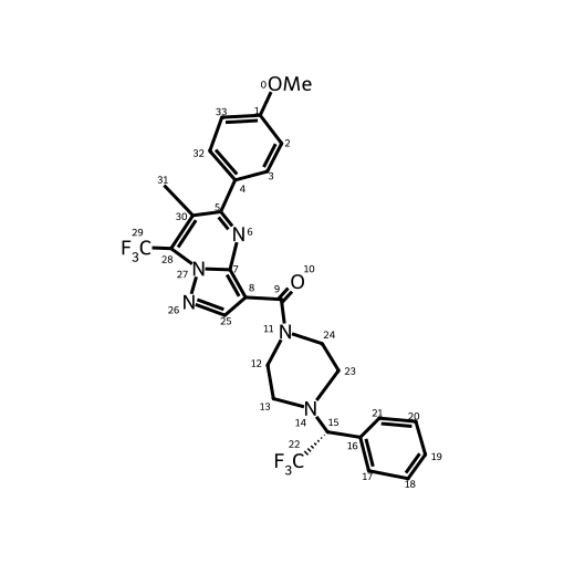 COc1ccc(-c2nc3c(C(=O)N4CCN([C@H](c5ccccc5)C(F)(F)F)CC4)cnn3c(C(F)(F)F)c2C)cc1